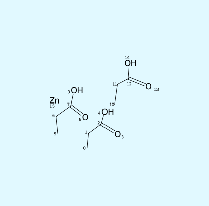 CCC(=O)O.CCC(=O)O.CCC(=O)O.[Zn]